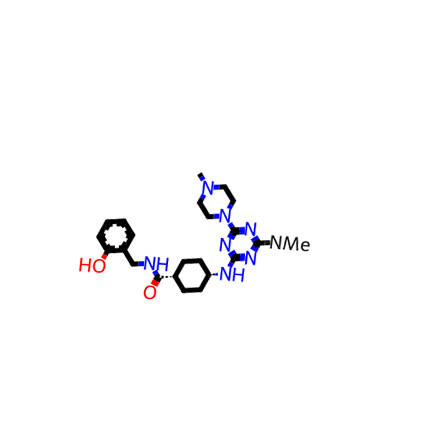 CNc1nc(N[C@H]2CC[C@@H](C(=O)NCc3ccccc3O)CC2)nc(N2CCN(C)CC2)n1